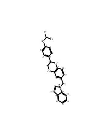 FC(F)Oc1ccc(C2COc3cc(Cn4cnc5cccnc54)ccc3O2)cc1